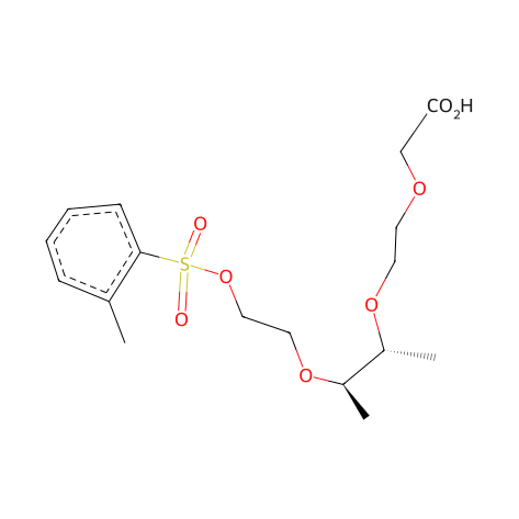 Cc1ccccc1S(=O)(=O)OCCO[C@H](C)[C@@H](C)OCCOCC(=O)O